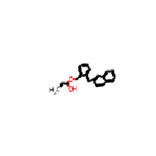 C=CC(O)OCc1ccccc1Cc1ccc2ccccc2c1